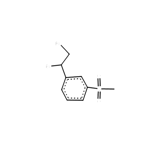 CS(=O)(=O)c1cccc(C(Br)CBr)c1